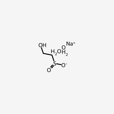 O.O.O=S([O-])CCO.[Na+]